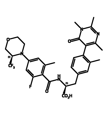 Cc1cc(C[C@H](NC(=O)c2c(C)cc(N3CCOC[C@@H]3C(F)(F)F)cc2F)C(=O)O)ccc1-c1c(C)nc(C)n(C)c1=O